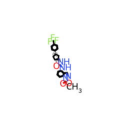 COC(=O)n1ncc2c(NC(=O)N[C@@H]3CC[C@H](c4ccc(C(F)(F)F)cc4)C3)cccc21